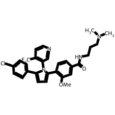 COc1cc(C(=O)NCCCN(C)C)ccc1-c1ccc(-c2ccc(Cl)cc2)n1-c1cnccc1C(F)(F)F